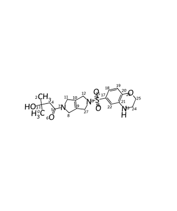 CC(C)(O)CC(=O)N1CC2=C(C1)CN(S(=O)(=O)c1ccc3c(c1)NCCO3)C2